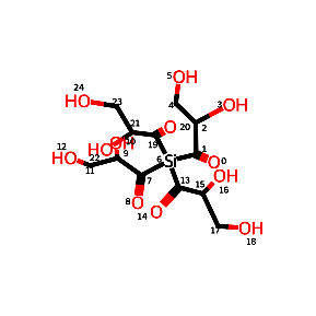 O=C(C(O)CO)[Si](C(=O)C(O)CO)(C(=O)C(O)CO)C(=O)C(O)CO